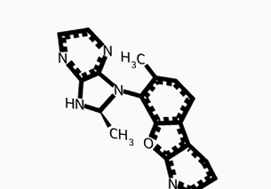 Cc1ccc2c(oc3ncccc32)c1N1c2nccnc2N[C@@H]1C